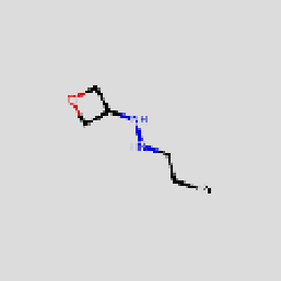 CC(C)CCNNC1COC1